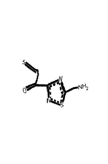 Nc1nc(C(=O)C=S)ns1